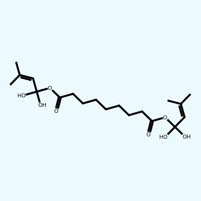 CC(C)=CC(O)(O)OC(=O)CCCCCCCC(=O)OC(O)(O)C=C(C)C